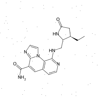 CC[C@@H]1CC(=O)NC1CNc1nccc2cc(C(N)=O)c3nccn3c12